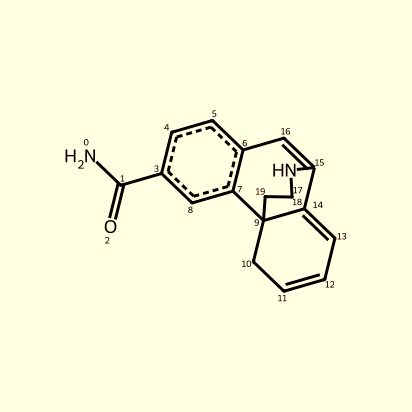 NC(=O)c1ccc2c(c1)C13CC=CC=C1C(=C2)NCC3